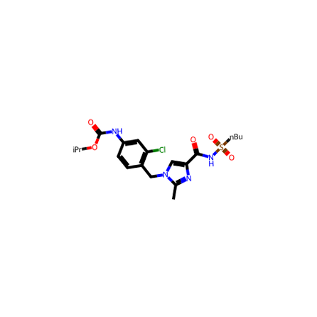 CCCCS(=O)(=O)NC(=O)c1cn(Cc2ccc(NC(=O)OC(C)C)cc2Cl)c(C)n1